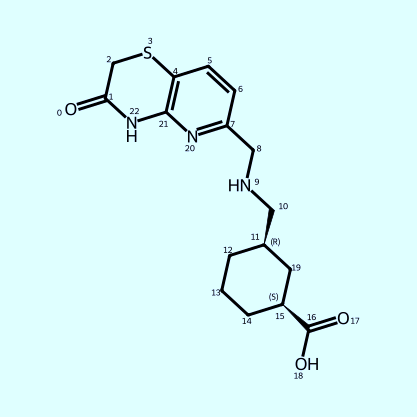 O=C1CSc2ccc(CNC[C@@H]3CCC[C@H](C(=O)O)C3)nc2N1